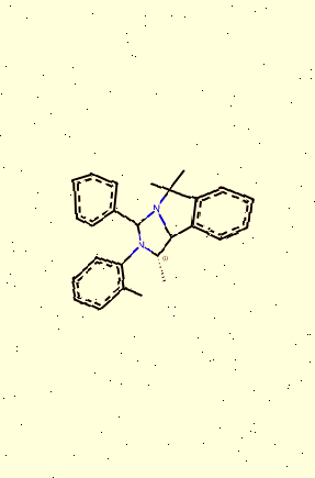 Cc1ccccc1N1C(c2ccccc2)N2C(c3ccccc3C2(C)C)[C@@H]1C